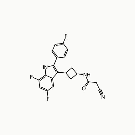 N#CCC(=O)N[C@H]1C[C@@H](c2c(-c3ccc(F)cc3)[nH]c3c(F)cc(F)cc32)C1